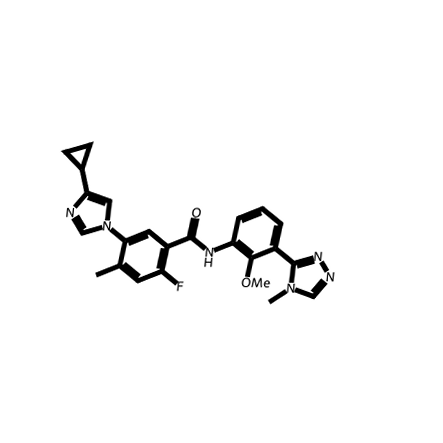 COc1c(NC(=O)c2cc(-n3cnc(C4CC4)c3)c(C)cc2F)cccc1-c1nncn1C